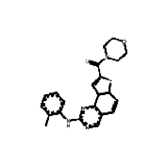 Cc1ccccc1Nc1ncc2c(n1)C1C=C(C(=O)N3CCOCC3)SC1C=C2